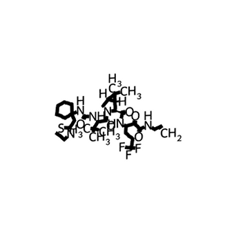 C=CCNC(=O)C(=O)C(CCC(F)(F)F)NC(=O)[C@@H]1[C@@H]2[C@H](CN1C(=O)[C@@H](NC(=O)NC1(CC3=NCCS3)CCCCC1)C(C)(C)C)C2(C)C